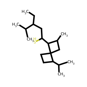 CCC(CC(S)C1C(C)CC12CCC2C(C)C)C(C)C